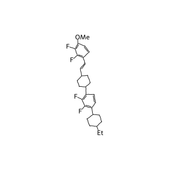 CCC1CCC(c2ccc(C3CCC(/C=C/c4ccc(OC)c(F)c4F)CC3)c(F)c2F)CC1